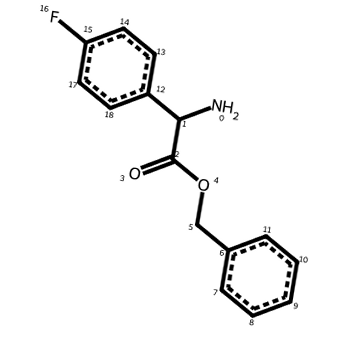 NC(C(=O)OCc1ccccc1)c1ccc(F)cc1